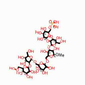 CO[C@@H]1OC(CO[C@H]2OC(CO[C@H]3OC(CO)[C@@H](O)[C@H](O)C3O[C@H]3OC(COO)[C@@H](O)[C@H](O)C3O)[C@@H](O)[C@H](O)C2O)[C@@H](O)[C@H](O[C@H]2OC(CO)[C@@H](O)[C@H](O)C2O[C@H]2OC(COP(=O)(O)O)[C@@H](O)[C@H](O)C2O)C1O